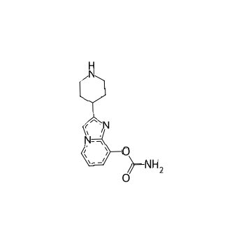 NC(=O)Oc1cccn2cc(C3CCNCC3)nc12